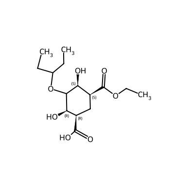 CCOC(=O)[C@H]1C[C@@H](C(=O)O)[C@@H](O)C(OC(CC)CC)[C@H]1O